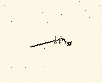 CCC=CCC=CCC=CCC=CCC=CCCCC(=O)NCCNC(=O)C(C)(C)CCCOc1cc(C)ccc1C